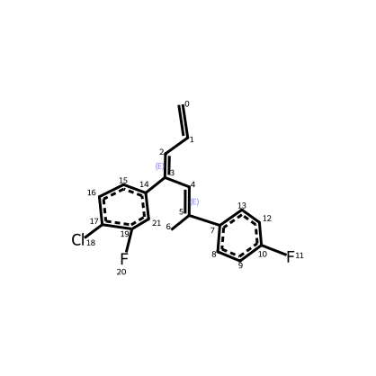 C=C/C=C(\C=C(/C)c1ccc(F)cc1)c1ccc(Cl)c(F)c1